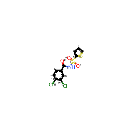 O=C(NS(=O)(=O)c1cccs1)c1ccc(Cl)c(Cl)c1